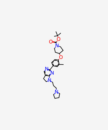 Cc1cc(-c2ncc3c(n2)N(CCCN2CCCC2)CC3)ccc1OC1CCN(C(=O)OC(C)(C)C)CC1